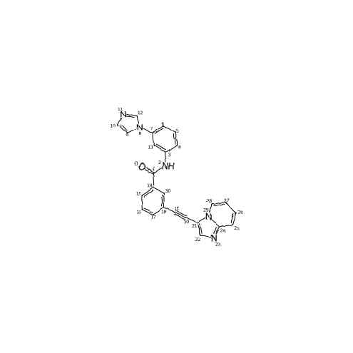 O=C(Nc1cccc(-n2ccnc2)c1)c1cccc(C#Cc2cnc3ccccn23)c1